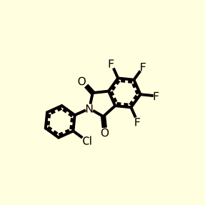 O=C1c2c(F)c(F)c(F)c(F)c2C(=O)N1c1ccccc1Cl